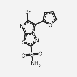 NS(=O)(=O)c1nn2c(-c3ccco3)c(Br)nc2s1